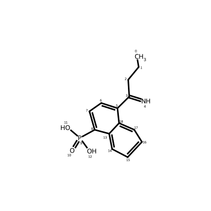 CCCC(=N)c1ccc(P(=O)(O)O)c2ccccc12